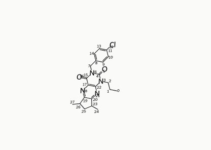 CCCn1c(=O)n(Cc2ccc(Cl)cc2)c(=O)c2nc3c(nc21)C(C)CC3C